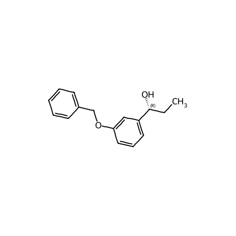 CC[C@@H](O)c1cccc(OCc2ccccc2)c1